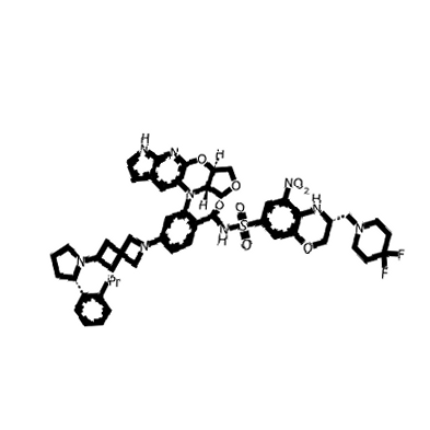 CC(C)c1ccccc1[C@@H]1CCCN1C1CC2(C1)CN(c1ccc(C(=O)NS(=O)(=O)c3cc4c(c([N+](=O)[O-])c3)N[C@H](CN3CCC(F)(F)CC3)CO4)c(N3c4cc5cc[nH]c5nc4O[C@H]4COC[C@@H]43)c1)C2